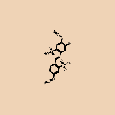 [2H]c1cc(C=Cc2ccc(N=C=S)cc2S(=O)(=O)O)c(S(=O)(=O)O)cc1N=C=S